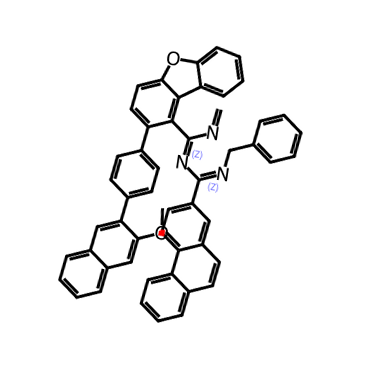 C=N/C(=N\C(=N/Cc1ccccc1)c1ccc2c(ccc3ccccc32)c1)c1c(-c2ccc(-c3cc4ccccc4cc3OC)cc2)ccc2oc3ccccc3c12